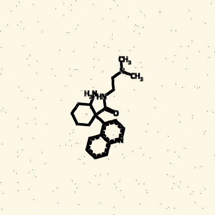 CN(C)CCNC(=O)C1(c2ccnc3ccccc23)CCCCC1N